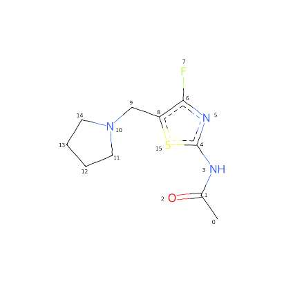 CC(=O)Nc1nc(F)c(CN2CCCC2)s1